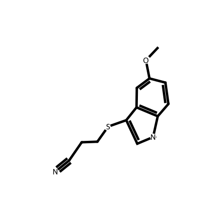 COc1ccc2c(c1)C(SCCC#N)=C[N]2